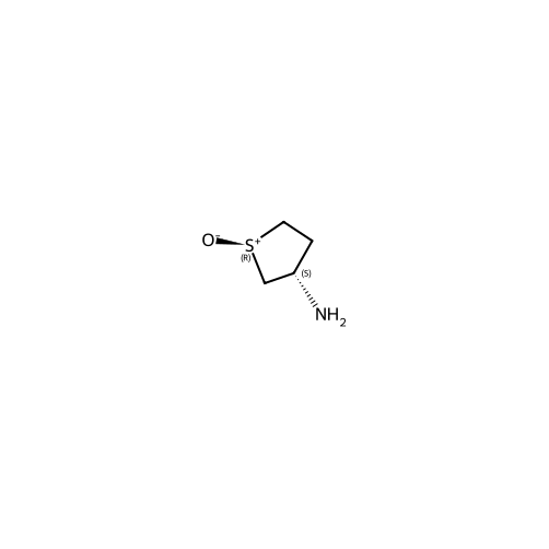 N[C@H]1CC[S@+]([O-])C1